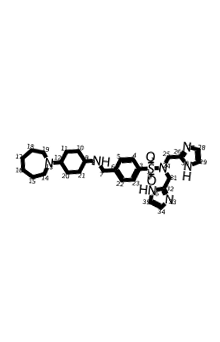 O=S(=O)(c1ccc(CNC2CCC(N3CCCCCC3)CC2)cc1)N(Cc1ncc[nH]1)Cc1ncc[nH]1